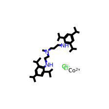 CC(C)c1cc(C(C)C)c(NCCCN(C)CCNc2c(C(C)C)cc(C(C)C)cc2C(C)C)c(C(C)C)c1.[Cl-].[Cl-].[Co+2]